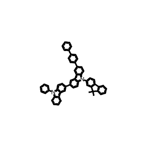 CC1(C)c2ccccc2-c2ccc(-n3c4ccc(-c5ccc(-c6ccccc6)cc5)cc4c4cc(-c5ccc6c(c5)c5ccccc5n6-c5ccccc5)ccc43)cc21